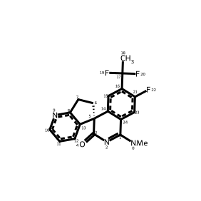 CNC1=NC(=O)[C@]2(CCc3ncccc32)c2cc(C(C)(F)F)c(F)cc21